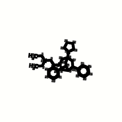 CCN(CC)CCN1CC2C(c3ccccc3)CC(N3CCCC3)(CC2c2ccccc2)C1